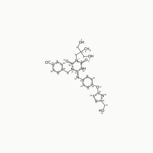 CC(CO)(CO)Cn1c(=O)[nH]/c(=N\c2ccc(Oc3nc(CO)cs3)cc2)n(Cc2ccc(Cl)cc2)c1=O